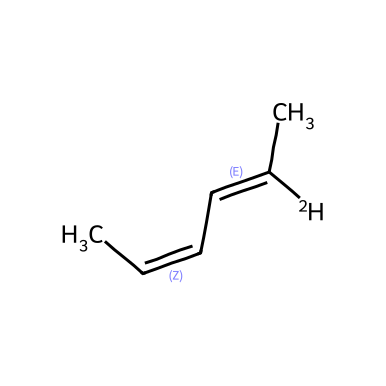 [2H]/C(C)=C\C=C/C